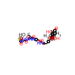 CC(C)SC1CC(=O)N(CCC(=O)NCC(=O)N[C@@H](CCC(=O)O)C(=O)Nc2ccc(COC(=O)NC34CC(Cc5ccc([C@@H]6O[C@@H]7C[C@H]8[C@@H]9CCC%10=CC(=O)C=C[C@]%10(C)[C@H]9[C@@H](O)C[C@]8(C)[C@]7(C(=O)CO)O6)cc5)(C3)C4)cc2)C1=O